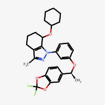 C[C@H](Oc1cccc(-n2nc(C(F)(F)F)c3c2C(OC2CCCCC2)CCC3)c1)c1ccc2c(c1)OC(F)(F)O2